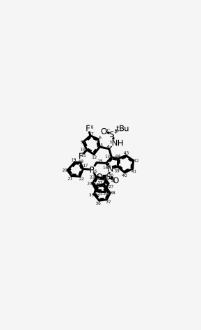 CC(C)(C)[S@@+]([O-])N[C@@H](c1cc(F)cc(F)c1)c1c(CP(c2ccccc2)c2ccccc2)n(S(=O)(=O)c2ccccc2)c2ccccc12